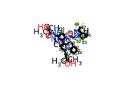 Cn1nc(NC(=O)C(C)(C)O)c2c(Cl)ccc(-c3ccc(C#CC(C)(C)O)nc3[C@H](Cc3cc(F)cc(F)c3)NC(=O)Cn3nc(C(F)F)c4c3C(F)(F)C3C[C@H]43)c21